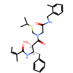 C/C=C(/C)C(=O)N[C@@H](Cc1ccccc1)[C@H](O)C(=O)N(CSC(C)C)CC(=O)NCc1ccccc1C